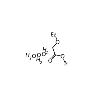 CCOCC(=O)[O][Ir].O.O.O